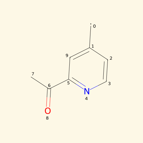 [CH2]c1ccnc(C(C)=O)c1